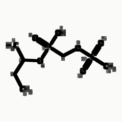 CCC(C)OP(=O)(O)COS(C)(=O)=O